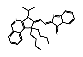 CCCCC1(CCCC)/C(=C\C=C2/N=C3C=CC=CC3C2=O)N(C(C)C)c2ncc3ccccc3c21